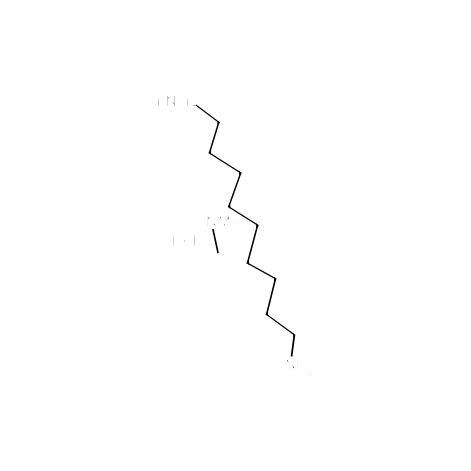 CCCCCCCCCCCCCCCCCCN.CNC.Cl